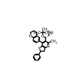 Cc1nc2c(c(-c3ccc4c(c3)CCCO4)c1[C@@H](CO)OC(C)(C)C)SC(c1ccccc1)C2